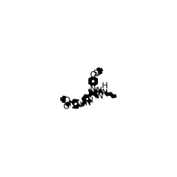 CCCCNc1ncc2c(-c3ccc(CN4CCN(C(=O)OC(C)(C)C)CC4)nn3)cn(C3CCC(O[Si](C)(C)C(C)(C)C)CC3)c2n1